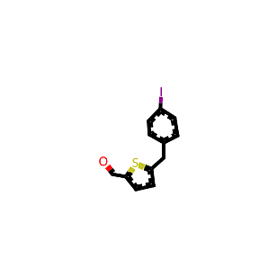 O=Cc1ccc(Cc2ccc(I)cc2)s1